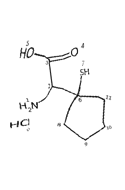 Cl.NC(C(=O)O)C1(S)CCCC1